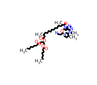 CCCCCCCC(=O)OCC(COC(=O)CCCCCCC)OC(=O)CC(C)CCCCCCCCCCC(C)C(=O)n1ccc2c(N(C)[C@H]3CN(C(=O)CC#N)CC[C@H]3C)ncnc21